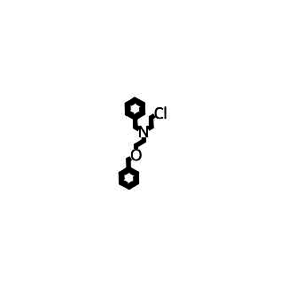 ClCCN(CCOCc1ccccc1)Cc1ccccc1